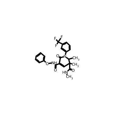 CNC(=O)C1(C)C=C(C(=O)NOc2ccccc2)C(=O)N(c2cccc(C(F)(F)F)c2)C1C